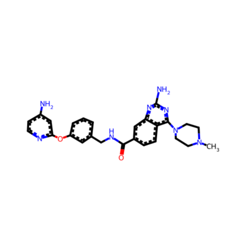 CN1CCN(c2nc(N)nc3cc(C(=O)NCc4cccc(Oc5cc(N)ccn5)c4)ccc23)CC1